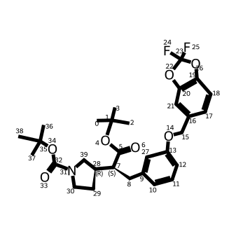 CC(C)(C)OC(=O)[C@@H](Cc1cccc(OCc2ccc3c(c2)OC(F)(F)O3)c1)[C@H]1CCN(C(=O)OC(C)(C)C)C1